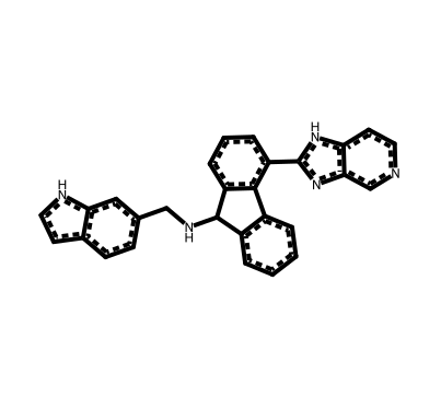 c1ccc2c(c1)-c1c(-c3nc4cnccc4[nH]3)cccc1C2NCc1ccc2cc[nH]c2c1